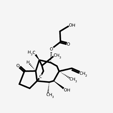 C=C[C@]1(C)C[C@@H](OC(=O)CO)[C@]2(C)C(C)CC[C@]3(CCC(=O)[C@H]32)[C@@H](C)[C@@H]1O